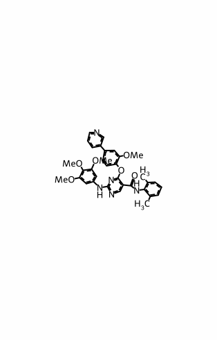 COc1cc(-c2cccnc2)ccc1Oc1nc(Nc2cc(OC)c(OC)c(OC)c2)ncc1C(=O)Nc1c(C)cccc1C